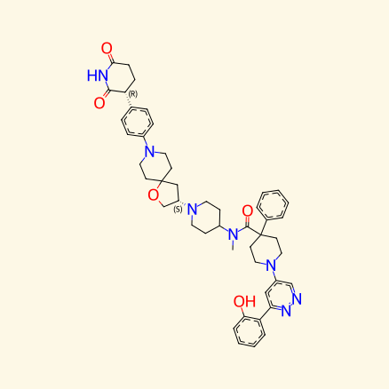 CN(C(=O)C1(c2ccccc2)CCN(c2cnnc(-c3ccccc3O)c2)CC1)C1CCN([C@@H]2COC3(CCN(c4ccc([C@H]5CCC(=O)NC5=O)cc4)CC3)C2)CC1